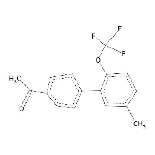 CC(=O)c1ccc(-c2cc(C)ccc2OC(F)(F)F)cc1